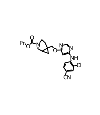 CC(C)OC(=O)N1CCC2(COc3cc(Nc4ccc(C#N)cc4Cl)ncn3)CC2C1